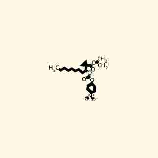 [CH2]C([CH2])OC(=O)C1(C(CCCCCCCC)OC(=O)Oc2ccc([N+](=O)[O-])cc2)CC1